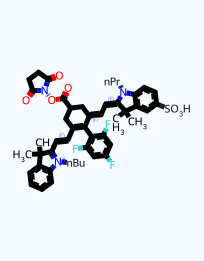 CCCC[N+]1=C(/C=C/C2=C(c3c(F)cc(F)cc3F)C(=C/C=C3/N(CCC)c4ccc(S(=O)(=O)O)cc4C3(C)C)/CC(C(=O)ON3C(=O)CCC3=O)C2)C(C)(C)c2ccccc21